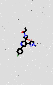 C=CC(=O)N1CC(O)(c2cnc(-c3ccc(F)cc3)cc2-c2ccn(C)n2)C1